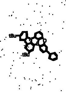 CC(C)(C)c1ccc2c(c1)c1cc(C(C)(C)C)cc3c1n2-c1cccc2c1B3c1ccc(-c3ccccc3)cc1O2